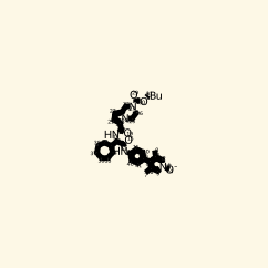 Cc1c[n+]([O-])cc(C)c1-c1ccc(NC(=O)[C@@H](NC(=O)c2ccc3n2CCN(C(=O)OC(C)(C)C)C3)C2CCCCCC2)cc1